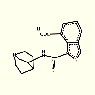 C[C@@H](NC1CN2CCC1CC2)n1ncc2cccc(C(=O)[O-])c21.[Li+]